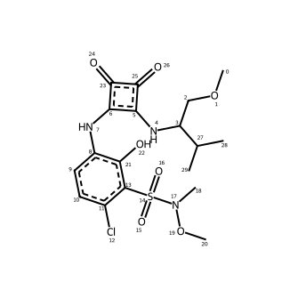 COCC(Nc1c(Nc2ccc(Cl)c(S(=O)(=O)N(C)OC)c2O)c(=O)c1=O)C(C)C